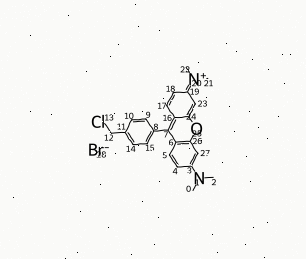 CN(C)c1ccc2c(-c3ccc(CCl)cc3)c3ccc(=[N+](C)C)cc-3oc2c1.[Br-]